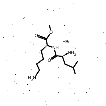 Br.COC(=O)[C@H](CCCCN)NC(=O)[C@@H](N)CC(C)C